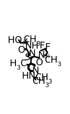 Cc1cc(NC(C)C)ncc1-c1sc(C(=O)N[C@H](C)CO)nc1C(=O)N1CC(F)(F)C[C@@H]1C